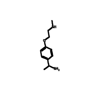 CNCCOc1ccc(C(C)N)cc1